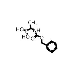 CC(NC(=O)OCc1ccccc1)P(O)O